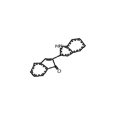 O=C1C(c2cc3ccccc3[nH]2)=Cc2ccccc21